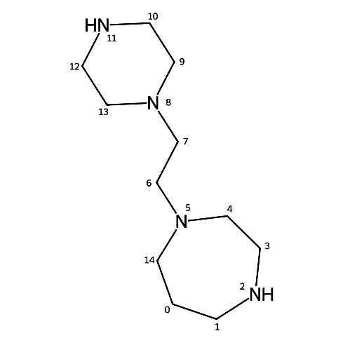 C1CNCCN(CCN2CCNCC2)C1